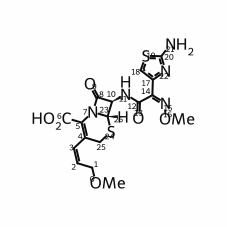 COC/C=C\C1=C(C(=O)O)N2C(=O)[C@@H](NC(=O)/C(=N\OC)c3csc(N)n3)[C@@H]2SC1